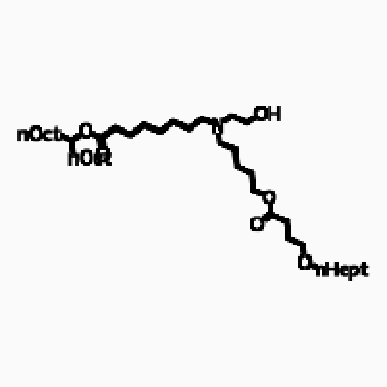 CCCCCCCCC(CCCCCCCC)OC(=O)CCCCCCCN(CCO)CCCCCOC(=O)CCCOCCCCCCC